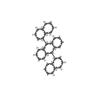 c1ccc2c(-c3c4ccccc4c(-c4cccc5ccccc45)c4ccccc34)cccc2c1